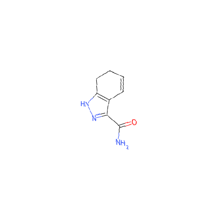 NC(=O)c1n[nH]c2c1C=CCC2